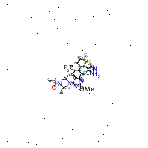 C=CC(=O)N1CC(C)N(c2nc(OC)nc3c(F)c(-c4ccc(F)c5sc(N)c(C#N)c45)c(C(F)(F)F)cc23)CC1C